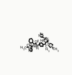 CC(C)n1nccc1C(=O)N[C@H](C(=O)Nc1ccc([C@H](C)[C@@H](N[S+]([O-])c2cnns2)C(=O)N2CCN(C)CC2)cc1F)C1CCCCC1